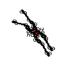 C=CC(=O)OCCCCCCOc1ccc(C(=O)Oc2ccc(C(O)(c3ccc(OC(=O)c4ccc(OCCCCCCOC(=O)C=C)cc4)cc3)[C@H](O)[C@@H](O)C(O)(c3ccc(OC(=O)c4ccc(OCCCCCCOC(=O)C=C)cc4)cc3)c3ccc(OC(=O)c4ccc(OCCCCCCOC(=O)C=C)cc4)cc3)cc2)cc1